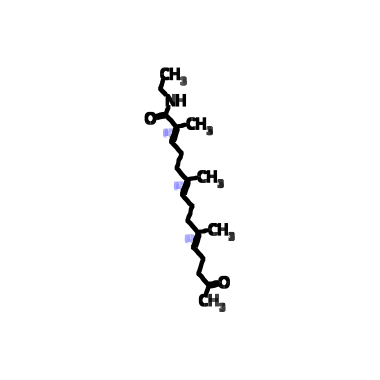 CCNC(=O)/C(C)=C/CC/C(C)=C/CC/C(C)=C/CCC(C)=O